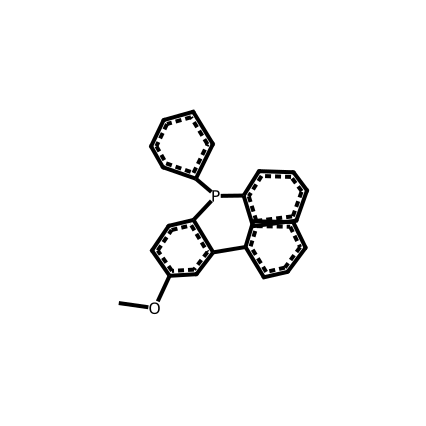 COc1ccc(P(c2ccccc2)c2ccccc2)c(-c2ccccc2)c1